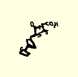 O=C(O)CN1C(=O)C(=Cc2ccc(-c3cccs3)s2)SC1=S